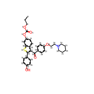 CCCOC(=O)Oc1ccc2c(C(=O)c3ccc(OCCN4CCCCC4)cc3)c(-c3ccc(O)cc3)sc2c1